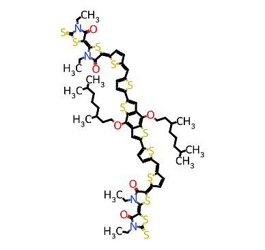 CCN1C(=O)/C(=c2/s/c(=c3\cc/c(=C/c4ccc(-c5cc6c(OCCC(C)CCCC(C)C)c7sc(-c8ccc(/C=c9/cc/c(=c%10\s/c(=C%11/SC(=S)N(CC)C%11=O)n(CC)c%10=O)s9)s8)cc7c(OCCC(C)CCCC(C)C)c6s5)s4)s3)c(=O)n2CC)SC1=S